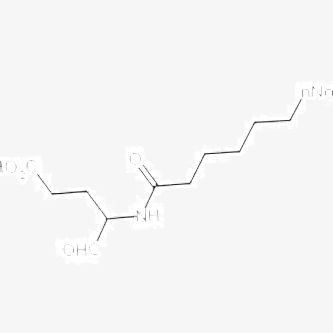 CCCCCCCCCCCCCCC(=O)NC(C=O)CCC(=O)O